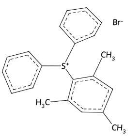 Cc1cc(C)c([S+](c2ccccc2)c2ccccc2)c(C)c1.[Br-]